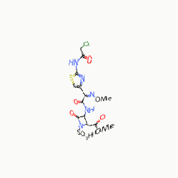 CON=C(C(=O)NC1C(=O)N(S(=O)(=O)O)C1C(=O)OC)c1csc(NC(=O)CCl)n1